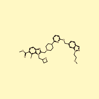 COCCn1ncc2ccc(COc3cccc(C4CCN(Cc5nc6ccc(C(=O)OC)c(F)c6n5CC5CCO5)CC4)n3)cc21